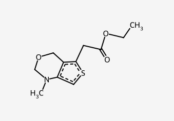 CCOC(=O)Cc1scc2c1COCN2C